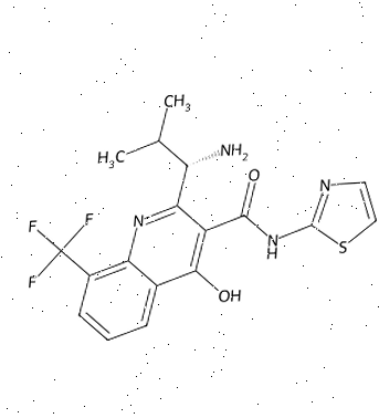 CC(C)[C@H](N)c1nc2c(C(F)(F)F)cccc2c(O)c1C(=O)Nc1nccs1